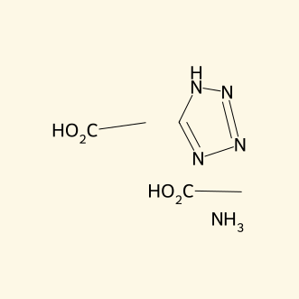 CC(=O)O.CC(=O)O.N.c1nnn[nH]1